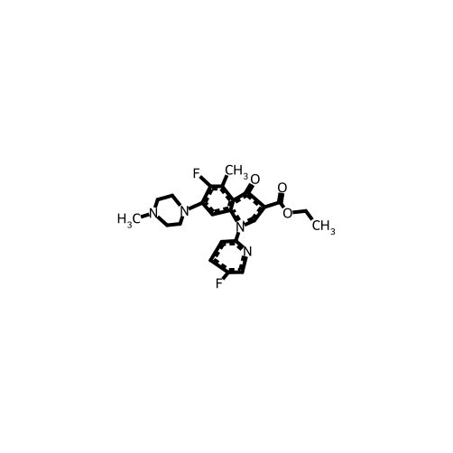 CCOC(=O)c1cn(-c2ccc(F)cn2)c2cc(N3CCN(C)CC3)c(F)c(C)c2c1=O